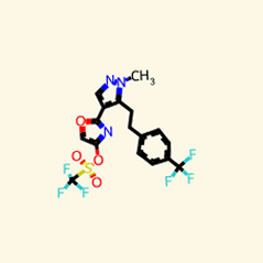 Cn1ncc(-c2nc(OS(=O)(=O)C(F)(F)F)co2)c1CCc1ccc(C(F)(F)F)cc1